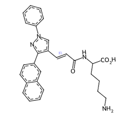 NCCCCC(NC(=O)/C=C/c1cn(-c2ccccc2)nc1-c1ccc2ccccc2c1)C(=O)O